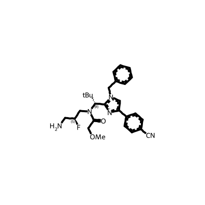 COCC(=O)N(C[C@@H](F)CN)[C@@H](c1nc(-c2ccc(C#N)cc2)cn1Cc1ccccc1)C(C)(C)C